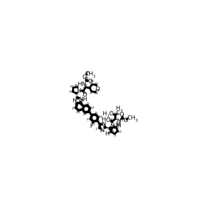 COC(=O)N[C@H](C(=O)N1[C@@H]2CC[C@@H](C2)[C@H]1c1ncc(-c2ccc(-c3ccc4c(ccc5nc([C@@H]6CCCN6C(=O)[C@@H](NC(=O)OC)C6CCOCC6)[nH]c54)c3)cc2F)[nH]1)C(C)C